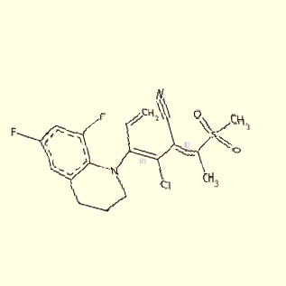 C=C/C(=C(Cl)\C(C#N)=C(/C)S(C)(=O)=O)N1CCCc2cc(F)cc(F)c21